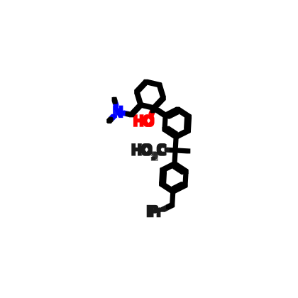 CC(C)Cc1ccc(C(C)(C(=O)O)c2cccc(C3(O)CCCCC3CN(C)C)c2)cc1